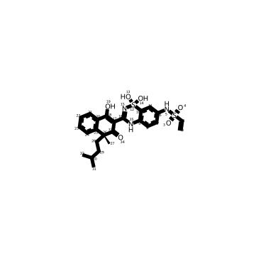 C=CS(=O)(=O)Nc1ccc2c(c1)S(O)(O)N=C(C1=C(O)c3ccccc3[C@@](C)(CCC(C)C)C1=O)N2